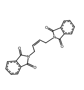 O=C1c2ccccc2C(=O)N1C/C=C\CN1C(=O)c2ccccc2C1=O